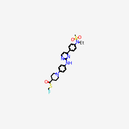 CCN(c1ccc(-c2ccnc(Nc3ccc(N4CCC(C(=O)SCF)CC4)cc3)n2)cc1)S(C)(=O)=O